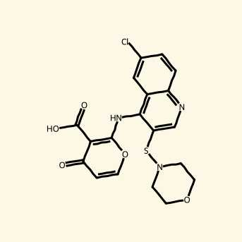 O=C(O)c1c(Nc2c(SN3CCOCC3)cnc3ccc(Cl)cc23)occc1=O